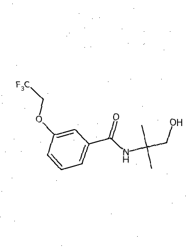 CC(C)(CO)NC(=O)c1cccc(OCC(F)(F)F)c1